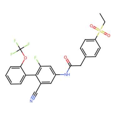 CCS(=O)(=O)c1ccc(CC(=O)Nc2cc(F)c(-c3ccccc3OC(F)(F)F)c(C#N)c2)cc1